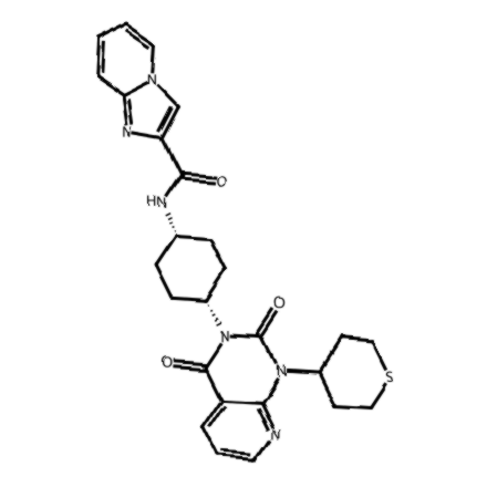 O=C(N[C@H]1CC[C@@H](n2c(=O)c3cccnc3n(C3CCSCC3)c2=O)CC1)c1cn2ccccc2n1